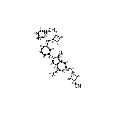 Cn1cnnc1[C@@H](c1cccc(-n2cc3c(C(F)(F)F)cc(CN4CC(C#N)C4)cn3c2=O)c1)C1CCC1